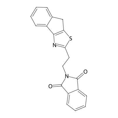 O=C1c2ccccc2C(=O)N1CCc1nc2c(s1)Cc1ccccc1-2